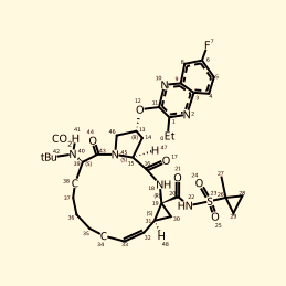 CCc1nc2ccc(F)cc2nc1O[C@@H]1C[C@H]2C(=O)N[C@]3(C(=O)NS(=O)(=O)C4(C)CC4)C[C@H]3C=CCCCCC[C@H](N(C(=O)O)C(C)(C)C)C(=O)N2C1